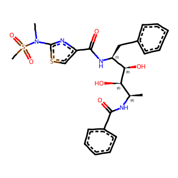 C[C@@H](NC(=O)c1ccccc1)[C@@H](O)[C@H](O)[C@H](Cc1ccccc1)NC(=O)c1csc(N(C)S(C)(=O)=O)n1